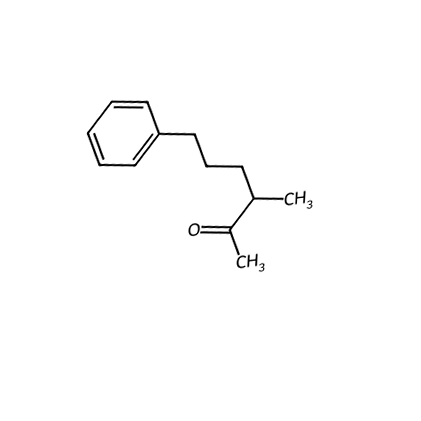 CC(=O)C(C)CCCc1ccccc1